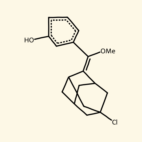 COC(=C1C2CC3CC1CC(Cl)(C3)C2)c1cccc(O)c1